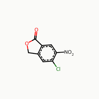 O=C1OCc2cc(Cl)c([N+](=O)[O-])cc21